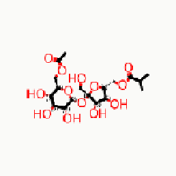 CC(=O)OC[C@H]1O[C@H](O[C@]2(CO)O[C@H](COC(=O)C(C)C)[C@@H](O)[C@@H]2O)[C@H](O)[C@@H](O)[C@@H]1O